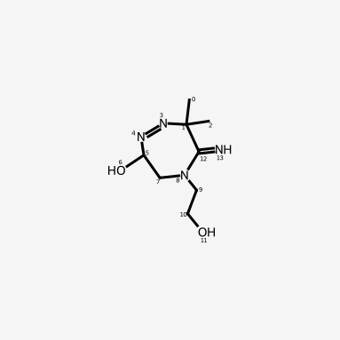 CC1(C)N=NC(O)CN(CCO)C1=N